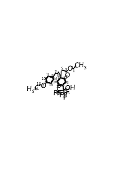 CCOC(=O)CN(Cc1ccc(OCC)cc1)c1ccc(C(O)(C(F)(F)F)C(F)(F)F)cc1